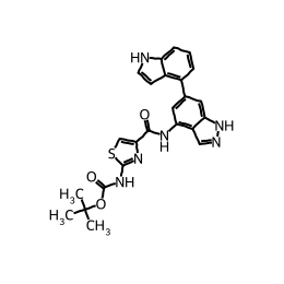 CC(C)(C)OC(=O)Nc1nc(C(=O)Nc2cc(-c3cccc4[nH]ccc34)cc3[nH]ncc23)cs1